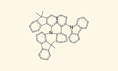 CC1(C)c2ccccc2-c2c(N(c3ccccc3-c3ccccc3-n3c4ccccc4c4ccccc43)c3cccc4c3C(C)(C)c3ccccc3-4)cccc21